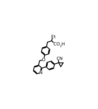 CCC(Cc1ccc(OCc2cccnc2-c2ccc(C3(C#N)CC3)cc2)cc1)C(=O)O